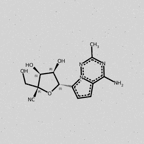 Cc1nc(N)c2ccc([C@@H]3O[C@](C#N)(CO)[C@@H](O)[C@H]3O)n2n1